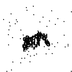 Cc1c(C(=O)NC/C=C/c2cc(OCCN)c3nc(Nc4ccc(N5CCOCC5)cc4)ncc3c2)c(=O)n(Cc2ccc(F)c(F)c2)n1C